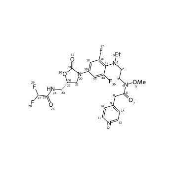 CCN(CCN(OC)C(=O)Cc1ccncc1)c1c(F)cc(N2C[C@H](CNC(=O)C(F)F)OC2=O)cc1F